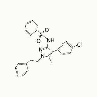 Cc1c(-c2ccc(Cl)cc2)c(NS(=O)(=O)c2ccccc2)nn1CCc1ccccc1